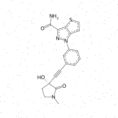 CN1CC[C@@](O)(C#Cc2cccc(-n3nc(C(N)=O)c4sccc43)c2)C1=O